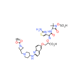 CC(C)(C)OC(=O)N1CC(CN2CCC(Nc3ccc4cc(OCC(ON=C(C(=O)NC5C(=O)N(OS(=O)(=O)O)C5(C)C)c5csc(N)n5)C(=O)O)ccc4n3)CC2)C1